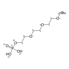 CCCCOCCOCCOCCOP(=O)(O)O